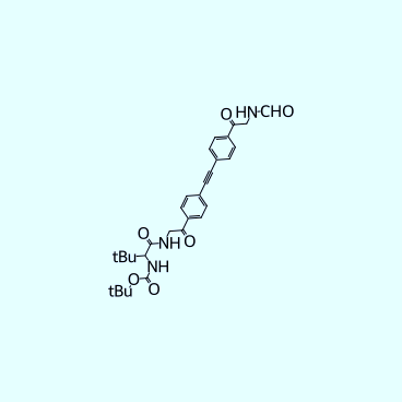 CC(C)(C)OC(=O)NC(C(=O)NCC(=O)c1ccc(C#Cc2ccc(C(=O)CNC=O)cc2)cc1)C(C)(C)C